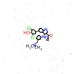 CN(C)CCc1cccc(Nc2c(C(=O)C3CC3)cnc3ccc(-c4cc(Cl)c(O)c(Cl)c4)cc23)c1